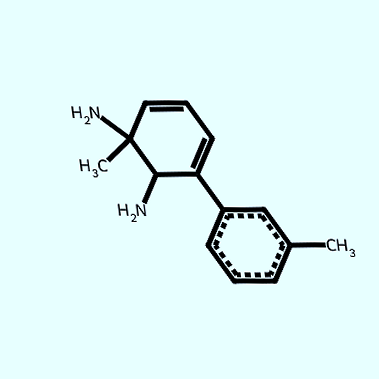 Cc1cccc(C2=CC=CC(C)(N)C2N)c1